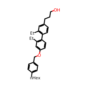 CCCCCCc1ccc(COc2ccc(-c3ccc(CCCO)cc3CC)c(CC)c2)cc1